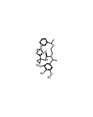 CCOc1cc(C(C)N(CCOC(C)c2ccccc2)C(=O)NC2(c3nn[nH]n3)CC2)cc(OCC)c1C(C)=O